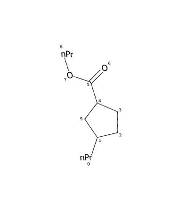 C[CH]CC1CCC(C(=O)OCCC)C1